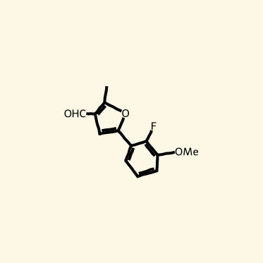 COc1cccc(-c2cc(C=O)c(C)o2)c1F